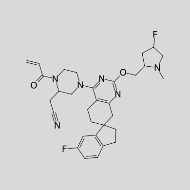 C=CC(=O)N1CCN(c2nc(OCC3CC(F)CN3C)nc3c2CCC2(CCc4ccc(F)cc42)C3)CC1CC#N